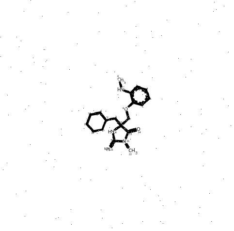 CNc1ccccc1OCC1(CC2CCCCC2)NC(=N)N(C)C1=O